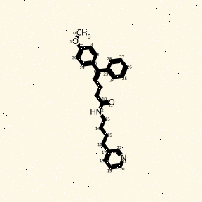 COc1ccc(C(=CCCC(=O)NCCCCc2cccnc2)c2ccccc2)cc1